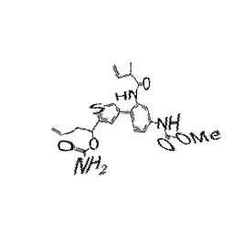 C=CCC(OC(N)=O)c1cc(-c2ccc(NC(=O)OC)cc2NC(=O)C(C)C=C)cs1